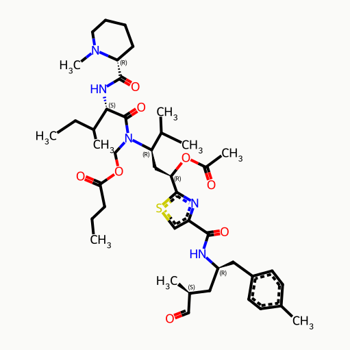 CCCC(=O)OCN(C(=O)[C@@H](NC(=O)[C@H]1CCCCN1C)C(C)CC)[C@H](C[C@@H](OC(C)=O)c1nc(C(=O)N[C@@H](Cc2ccc(C)cc2)C[C@H](C)C=O)cs1)C(C)C